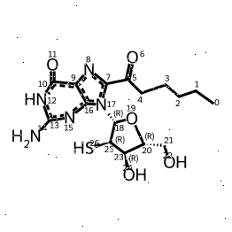 CCCCCC(=O)c1nc2c(=O)[nH]c(N)nc2n1[C@@H]1O[C@H](CO)[C@@H](O)[C@H]1S